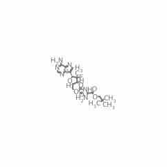 CC(C)(C)COC(=O)C(N)NP1(=O)OC[C@H]2O[C@@H](c3cnc4c(N)ncnn34)[C@](C)(F)[C@@H]2O1